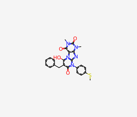 CSc1ccc(-n2c(=O)c(Cc3ccccc3)c(O)n3c4c(=O)n(C)c(=O)n(C)c4nc23)cc1